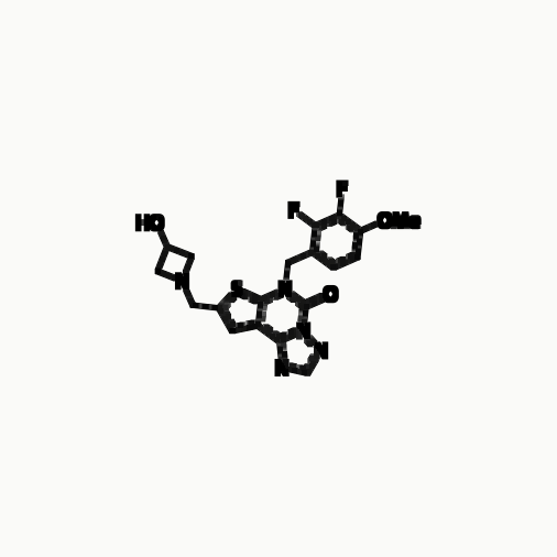 COc1ccc(Cn2c(=O)n3ncnc3c3cc(CN4CC(O)C4)sc32)c(F)c1F